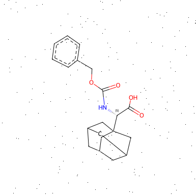 O=C(N[C@H](C(=O)O)C12CC3CC(CC(C3)C1)C2)OCc1ccccc1